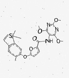 COc1nc(OC)c(NC(=O)c2ccc(Oc3cc4c(cc3C)C=C[Si]4(C)C)o2)c(OC)n1